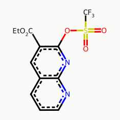 CCOC(=O)c1cc2cccnc2nc1OS(=O)(=O)C(F)(F)F